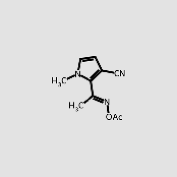 CC(=O)ON=C(C)c1c(C#N)ccn1C